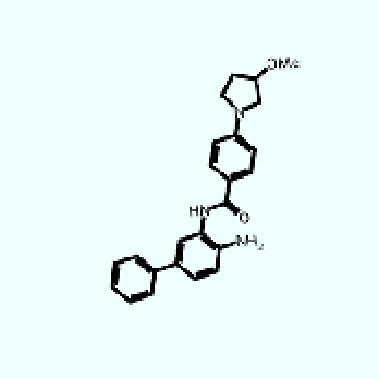 COC1CCN(c2ccc(C(=O)Nc3cc(-c4ccccc4)ccc3N)cc2)C1